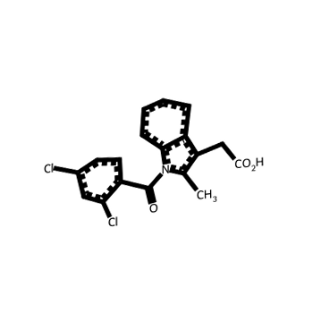 Cc1c(CC(=O)O)c2ccccc2n1C(=O)c1ccc(Cl)cc1Cl